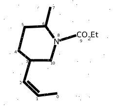 C/C=C\C1CCC(C)N(C(=O)OCC)C1